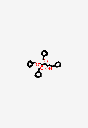 O[C@H](CCC1CCCCC1)[C@@H](OCc1ccccc1)[C@@H](COCc1ccccc1)OCc1ccccc1